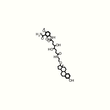 COc1ccc(NC(=O)CCC(O)C(O)CCC(=O)NCCOC2CCC3C4CCc5cc(O)ccc5C4CCC23C)c(O)c1C(N)=O